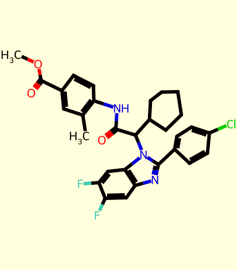 COC(=O)c1ccc(NC(=O)C(C2CCCCC2)n2c(-c3ccc(Cl)cc3)nc3cc(F)c(F)cc32)c(C)c1